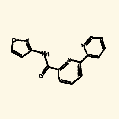 O=C(Nc1ccon1)c1cccc(-c2ccccn2)n1